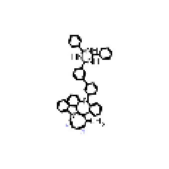 C=C1/C=C\C=C/N(c2ccccc2)C2=C1c1ccccc1N(c1cccc(-c3cccc(C4NC(c5ccccc5)NC(C5C=CC=CC5)N4)c3)c1)c1ccccc12